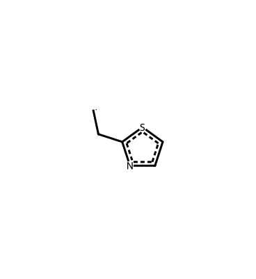 [CH2]Cc1nccs1